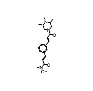 CC1CN(C(=O)C=Cc2cccc(C=CC(=O)NO)c2)CC(C)N1C